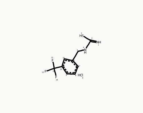 Cl.N=C(S)NCc1cccc(C(F)(F)F)c1